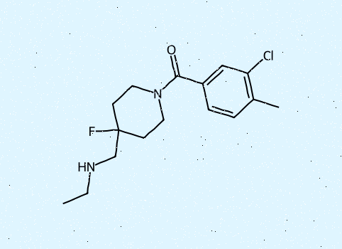 CCNCC1(F)CCN(C(=O)c2ccc(C)c(Cl)c2)CC1